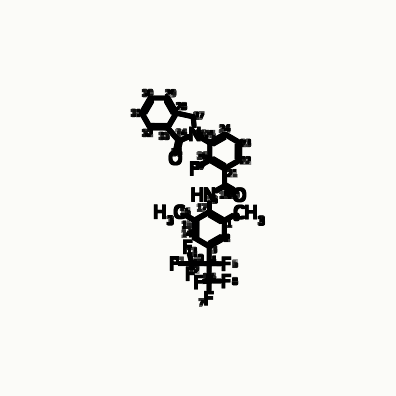 Cc1cc(C(F)(C(F)(F)F)C(F)(F)F)cc(C)c1NC(=O)c1cccc(N2Cc3ccccc3C2=O)c1F